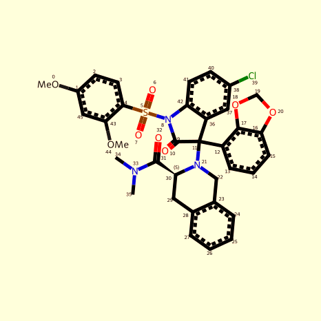 COc1ccc(S(=O)(=O)N2C(=O)C(c3cccc4c3OCO4)(N3Cc4ccccc4C[C@H]3C(=O)N(C)C)c3cc(Cl)ccc32)c(OC)c1